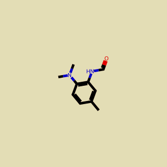 Cc1ccc(N(C)C)c(NC=O)c1